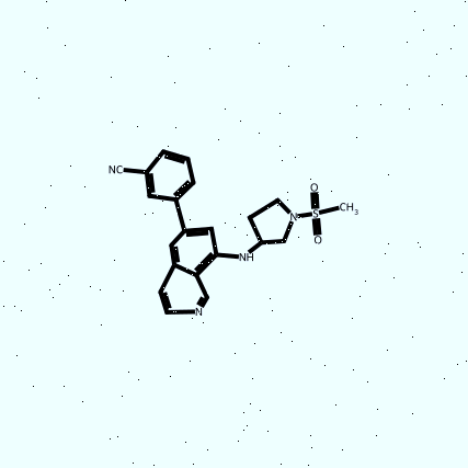 CS(=O)(=O)N1CCC(Nc2cc(-c3cccc(C#N)c3)cc3ccncc23)C1